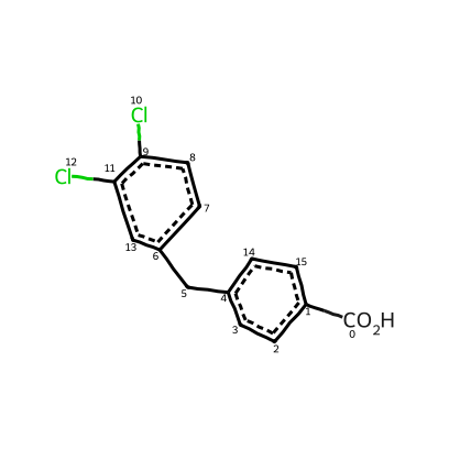 O=C(O)c1ccc(Cc2ccc(Cl)c(Cl)c2)cc1